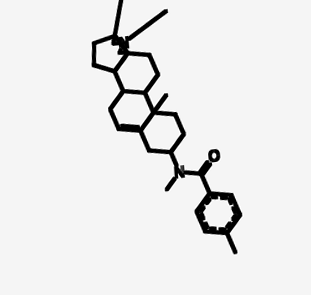 Cc1ccc(C(=O)N(C)C2CCC3(C)C(=CCC4C3CCC35CN(C)C(C)C3CCC45)C2)cc1